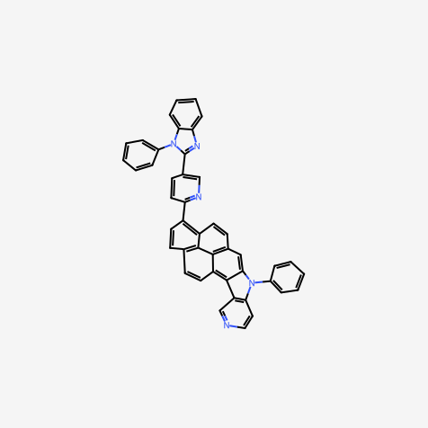 c1ccc(-n2c(-c3ccc(-c4ccc5ccc6c7c(ccc4c57)cc4c6c5cnccc5n4-c4ccccc4)nc3)nc3ccccc32)cc1